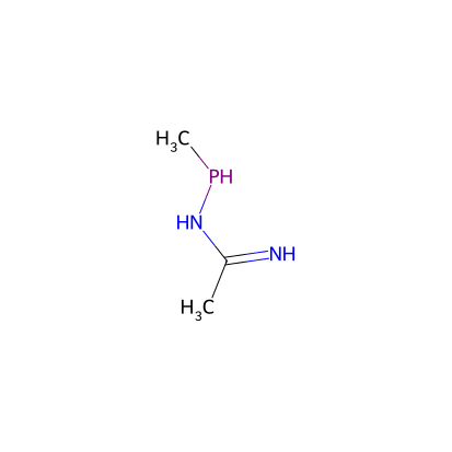 CPNC(C)=N